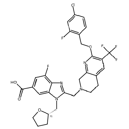 O=C(O)c1cc(F)c2nc(CN3CCc4cc(C(F)(F)F)c(OCc5ccc(Cl)cc5F)nc4C3)n(C[C@@H]3CCCO3)c2c1